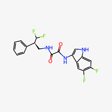 O=C(NC[C@@H](c1ccccc1)C(F)F)C(=O)Nc1c[nH]c2cc(F)c(F)cc12